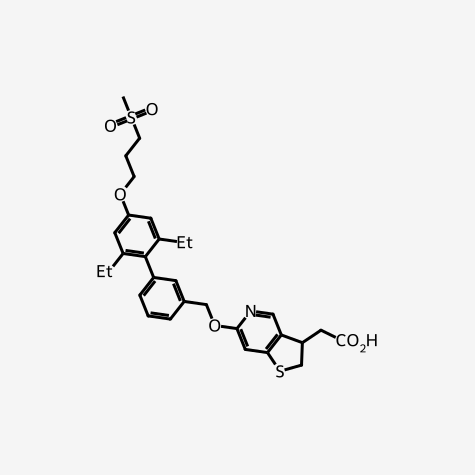 CCc1cc(OCCCS(C)(=O)=O)cc(CC)c1-c1cccc(COc2cc3c(cn2)C(CC(=O)O)CS3)c1